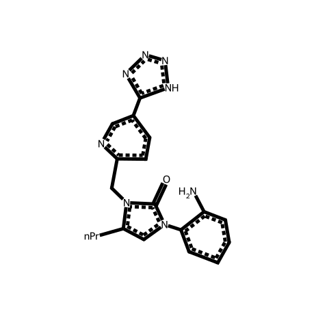 CCCc1cn(-c2ccccc2N)c(=O)n1Cc1ccc(-c2nnn[nH]2)cn1